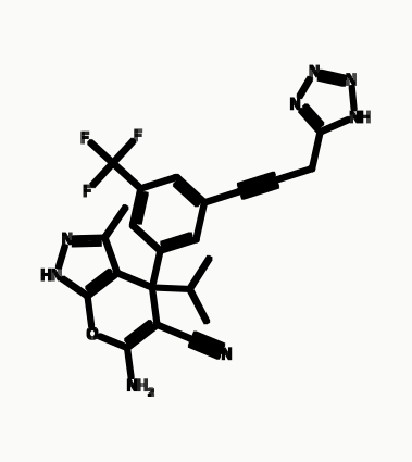 Cc1n[nH]c2c1C(c1cc(C#CCc3nnn[nH]3)cc(C(F)(F)F)c1)(C(C)C)C(C#N)=C(N)O2